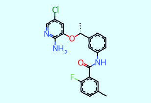 Cc1ccc(F)c(C(=O)Nc2cccc([C@@H](C)Oc3cc(Cl)cnc3N)c2)c1